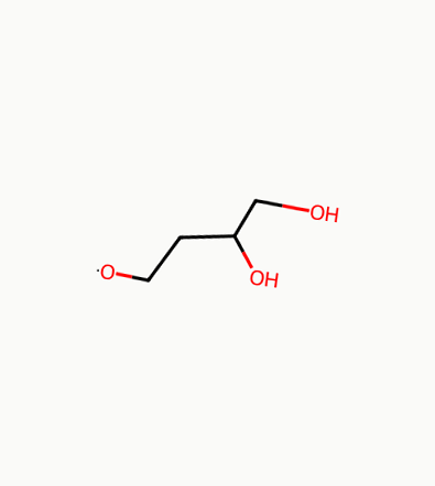 [O]CCC(O)CO